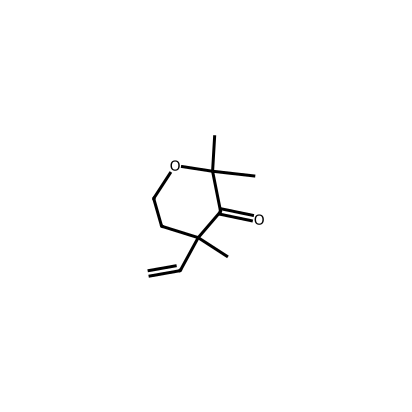 C=CC1(C)CCOC(C)(C)C1=O